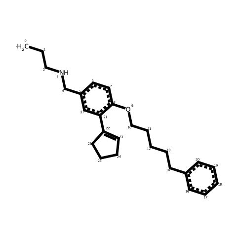 [CH2]CCNCc1ccc(OCCCCCc2ccccc2)c(C2=CCCC2)c1